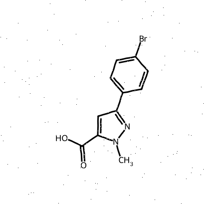 Cn1nc(-c2ccc(Br)cc2)cc1C(=O)O